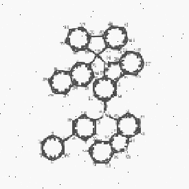 c1ccc(-c2ccc(N(c3ccc4c(c3)c3ccccc3n4C3(c4ccc5ccccc5c4)c4ccccc4-c4ccccc43)c3cccc4sc5ccccc5c34)cc2)cc1